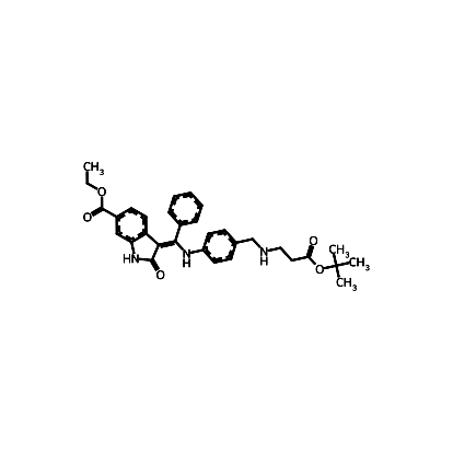 CCOC(=O)c1ccc2c(c1)NC(=O)/C2=C(\Nc1ccc(CNCCC(=O)OC(C)(C)C)cc1)c1ccccc1